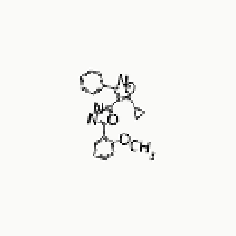 COc1ccccc1-c1nnc(-c2c(-c3ccccc3)noc2C2CC2)o1